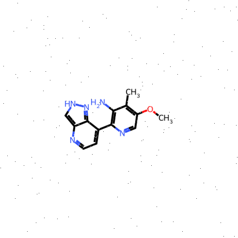 COc1cnc(-c2ccnc3c[nH]nc23)c(N)c1C